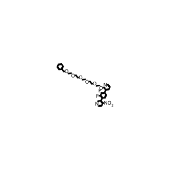 O=[N+]([O-])c1ccncc1-c1ccc(-c2cccnc2OCCOCCOCCOCCOCCOCc2ccccc2)c(F)c1F